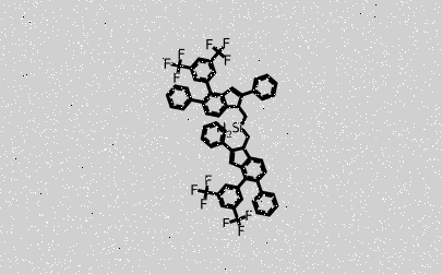 FC(F)(F)c1cc(-c2c(-c3ccccc3)ccc3c2C=C(c2ccccc2)C3C[SiH2]CC2C(c3ccccc3)=Cc3c2ccc(-c2ccccc2)c3-c2cc(C(F)(F)F)cc(C(F)(F)F)c2)cc(C(F)(F)F)c1